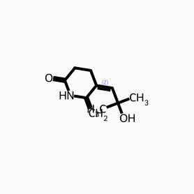 C=C1NC(=O)CC/C1=C/C(C)(C)O